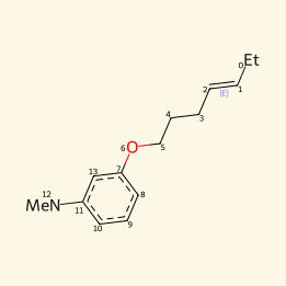 CC/C=C/CCCOc1cccc(NC)c1